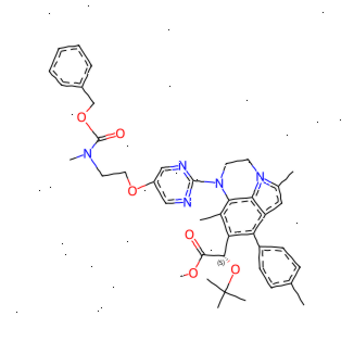 COC(=O)[C@@H](OC(C)(C)C)c1c(C)c2c3c(cc(C)n3CCN2c2ncc(OCCN(C)C(=O)OCc3ccccc3)cn2)c1-c1ccc(C)cc1